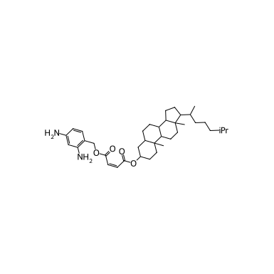 CC(C)CCCC(C)C1CCC2C3CCC4CC(OC(=O)/C=C\C(=O)OCc5ccc(N)cc5N)CCC4(C)C3CCC12C